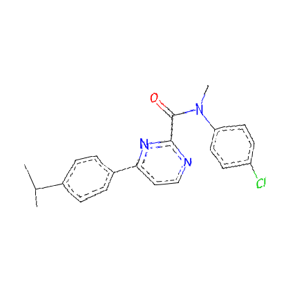 CC(C)c1ccc(-c2ccnc(C(=O)N(C)c3ccc(Cl)cc3)n2)cc1